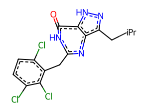 CC(C)Cc1n[nH]c2c(=O)[nH]c(Cc3c(Cl)ccc(Cl)c3Cl)nc12